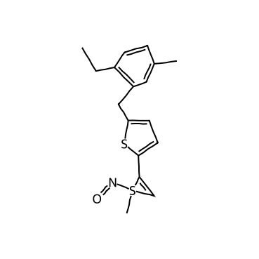 CCc1ccc(C)cc1Cc1ccc(C2=CS2(C)N=O)s1